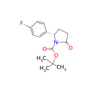 CC(C)(C)OC(=O)N1C(=O)CC[C@H]1c1ccc(F)cc1